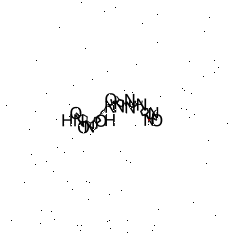 Cc1cc(-c2ncc(N(C)c3ccc4c(c3)n(C)c(=O)n4C)cn2)cnc1C(=O)NCC#Cc1cc2c(C3CCC(=O)NC3=O)nccc2o1